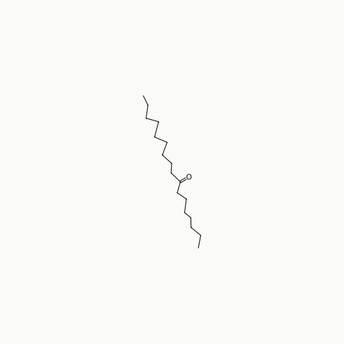 CCCCCCCCCC(=O)CCCCCCC